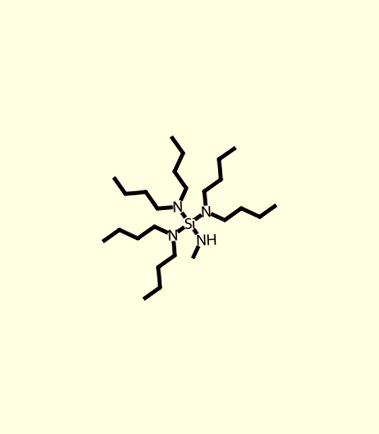 CCCCN(CCCC)[Si](NC)(N(CCCC)CCCC)N(CCCC)CCCC